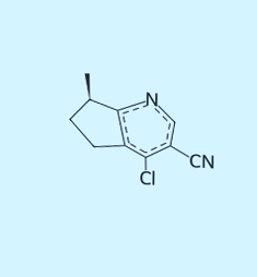 C[C@@H]1CCc2c1ncc(C#N)c2Cl